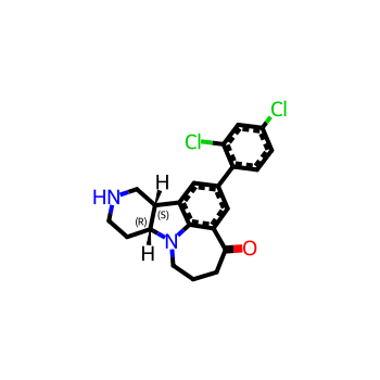 O=C1CCCN2c3c1cc(-c1ccc(Cl)cc1Cl)cc3[C@H]1CNCC[C@H]12